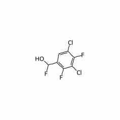 OC(F)c1cc(Cl)c(F)c(Cl)c1F